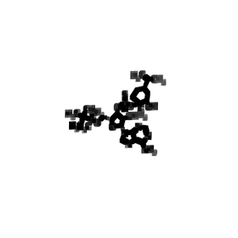 C=C(C)[C@@H]1CC[C@](C)(S[PH](=S)O[C@H]2[C@@H](O)[C@H](n3cnc4c(N)ncnc43)O[C@@H]2CO[Si](C)(C)C(C)(C)C)[C@@H](O)C1